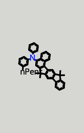 CCCCCc1cccc(N(c2ccccc2)c2cc3c(c4ccccc24)-c2cc4c(cc2C3(C)C)-c2ccccc2C4(C)C)c1